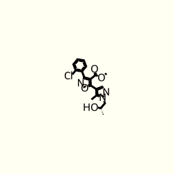 COC(=O)c1c(-c2ccccc2Cl)noc1-c1cnn(C[C@H](C)O)c1C